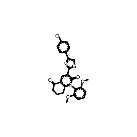 COc1cccc(OC)c1-n1c2c(cc(-c3nc(-c4ccc(Cl)cc4)cs3)c1=O)C(=O)CCC2